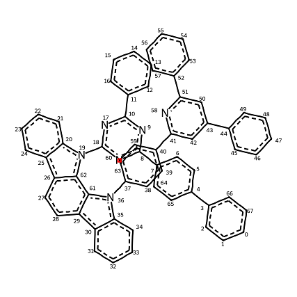 c1ccc(-c2ccc(-c3nc(-c4ccccc4)nc(-n4c5ccccc5c5ccc6c7ccccc7n(-c7ccc(-c8cc(-c9ccccc9)cc(-c9ccccc9)n8)cc7)c6c54)n3)cc2)cc1